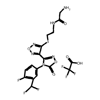 NCC(=O)NCCSc1nonc1-c1noc(=O)n1-c1ccc(F)c(C(F)F)c1.O=C(O)C(F)(F)F